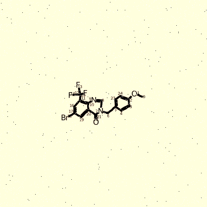 COc1ccc(Cn2cnc3c(C(F)(F)F)cc(Br)cc3c2=O)cc1